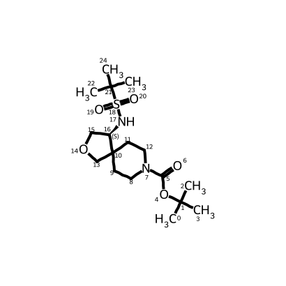 CC(C)(C)OC(=O)N1CCC2(CC1)COC[C@H]2NS(=O)(=O)C(C)(C)C